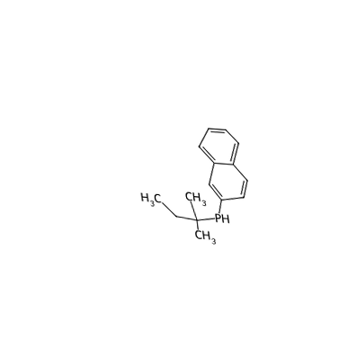 CCC(C)(C)Pc1ccc2ccccc2c1